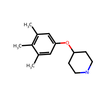 Cc1cc(OC2CC[N]CC2)cc(C)c1C